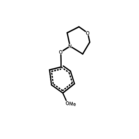 COc1ccc(ON2CCOCC2)cc1